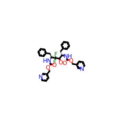 O=C(N[C@@H](Cc1ccccc1)C(=O)C(F)(F)[C@H](Cc1ccccc1)NC(=O)OCc1cccnc1)OCc1cccnc1